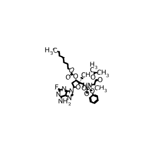 C#C[C@]1(CO[P@@](=O)(N[C@@H](C)C(=O)OC(C)C)Oc2ccccc2)O[C@@H](n2cnc3c(N)nc(F)nc32)C[C@@H]1OC(=O)OCCCCCCC